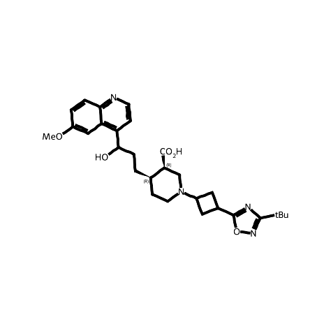 COc1ccc2nccc(C(O)CC[C@@H]3CCN(C4CC(c5nc(C(C)(C)C)no5)C4)C[C@@H]3C(=O)O)c2c1